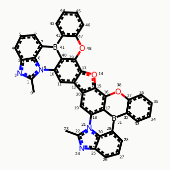 Cc1nc2cccc3c2n1-c1cc2c(oc4c5c6c(cc42)-n2c(C)nc4cccc(c42)B6c2ccccc2O5)c2c1B3c1ccccc1O2